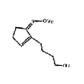 CON=C1CCC=C1CCCCO